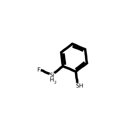 F[SiH2]c1ccccc1S